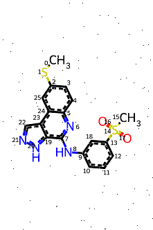 CSc1ccc2nc(Nc3cccc(S(C)(=O)=O)c3)c3[nH]ncc3c2c1